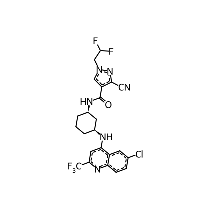 N#Cc1nn(CC(F)F)cc1C(=O)N[C@@H]1CCC[C@H](Nc2cc(C(F)(F)F)nc3ccc(Cl)cc23)C1